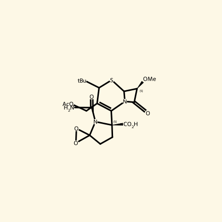 CO[C@H]1C(=O)N2C([C@]3(C(=O)O)CCC4(OO4)N3C(N)=O)=C(COC(C)=O)C(C(C)(C)C)SC12